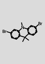 CN1c2cc(Br)ccc2C(C)(C)c2ccc(Br)cc21